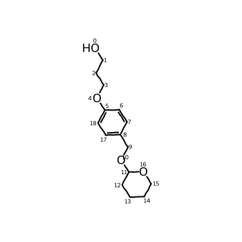 OCCCOc1ccc(COC2CCCCO2)cc1